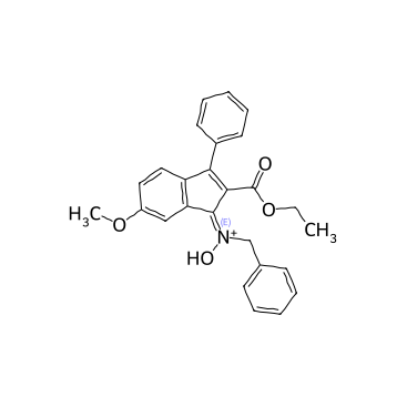 CCOC(=O)C1=C(c2ccccc2)c2ccc(OC)cc2/C1=[N+](\O)Cc1ccccc1